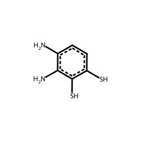 Nc1ccc(S)c(S)c1N